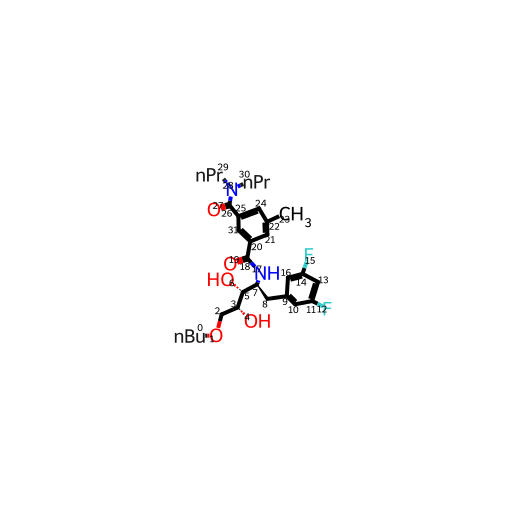 CCCCOC[C@@H](O)[C@H](O)[C@H](Cc1cc(F)cc(F)c1)NC(=O)c1cc(C)cc(C(=O)N(CCC)CCC)c1